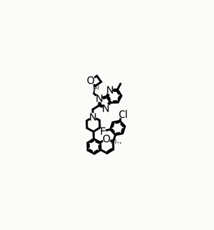 Cc1ccc2nc(CN3CCC(c4cccc5c4O[C@@](C)(c4ccc(Cl)cc4F)C=C5)CC3)n(C[C@@H]3CCO3)c2n1